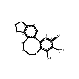 O=C(O)c1c(O)c2c([nH]c1=O)-c1ccc3c(c1CCCO2)CCN3